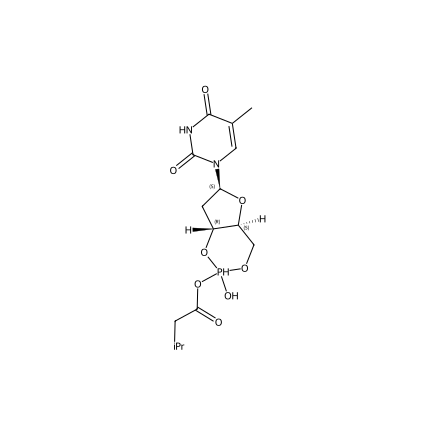 Cc1cn([C@@H]2C[C@H]3O[PH](O)(OC(=O)CC(C)C)OC[C@@H]3O2)c(=O)[nH]c1=O